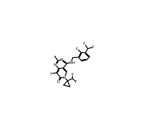 Cc1nc(NCc2cccc(C(F)F)c2F)c2cn(C3(C(F)F)CC3)c(=O)c(F)c2n1